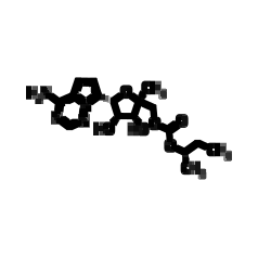 CC[C@@H](C)OC(=O)OC[C@@]1(C)O[C@@H](c2ccc3c(N)ncnn23)[C@H](O)[C@@H]1O